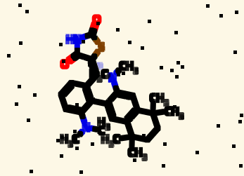 CN(C)c1cc2c(cc1-c1c(/C=C3/SC(=O)NC3=O)cccc1N(C)C)C(C)(C)CCC2(C)C